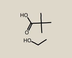 CC(C)(C)C(=O)O.CCO